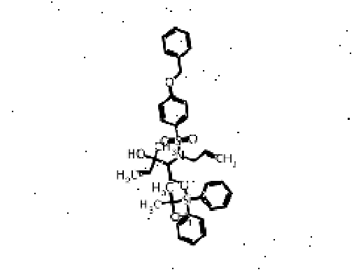 C=CCN(C(CO[Si](c1ccccc1)(c1ccccc1)C(C)(C)C)C(C)(O)C=C)S(=O)(=O)c1ccc(OCc2ccccc2)cc1